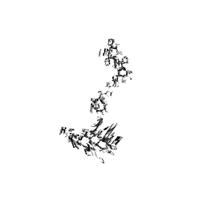 Cc1c(C#Cc2ccc(CCCCOc3cccc4c3CN(C3CCC(=O)NC3=O)C4=O)cn2)sc2c1C(c1ccc(Cl)cc1)=N[C@@H](C)c1nnc(C)n1-2